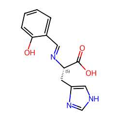 O=C(O)[C@H](Cc1c[nH]cn1)N=Cc1ccccc1O